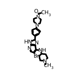 CC(=O)N1CCN(c2ccc(-c3nc4c(NC5CCN(C)CC5)c(Br)cnc4[nH]3)cc2)CC1